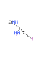 CCNCCCCC(CCCCCCCCI)CNI